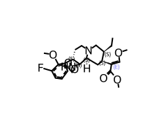 CC[C@@H]1CN2CC[C@@]34OCCO[C@@]3(Nc3ccc(F)c(OC)c34)[C@@H]2C[C@@H]1/C(=C\OC)C(=O)OC